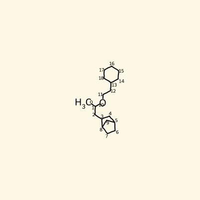 CC(CC1CC2CCC1C2)OCCC1CCCCC1